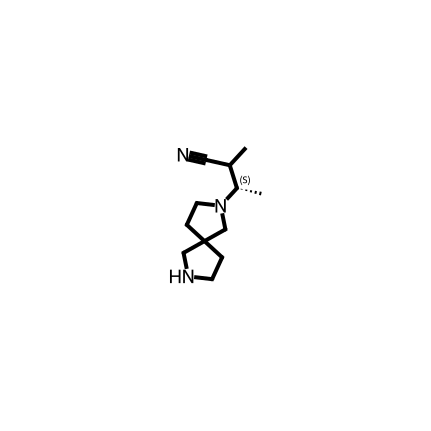 CC(C#N)[C@H](C)N1CCC2(CCNC2)C1